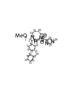 COC[C@H]1[C@H](c2ccc(-c3ccccc3C)cc2)[C@H]2CN(S(=O)(=O)c3cn(C)cn3)CCCCN21